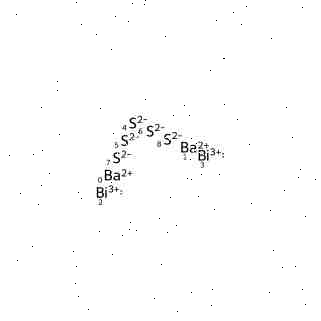 [Ba+2].[Ba+2].[Bi+3].[Bi+3].[S-2].[S-2].[S-2].[S-2].[S-2]